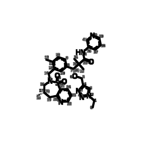 CCn1cc(CO[C@H](c2ccc(C)c(CN3C[C@@H](C)Cc4ncccc4S3(=O)=O)c2)C(C)(C)C(=O)Nc2cccnc2)nn1